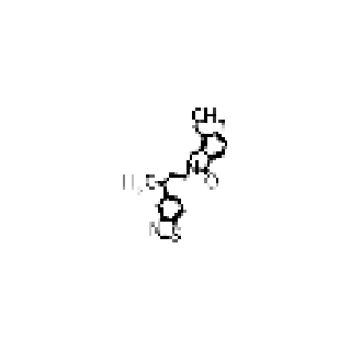 CCc1cccc2c1CN(CCC(C)c1ccc3scnc3c1)C2=O